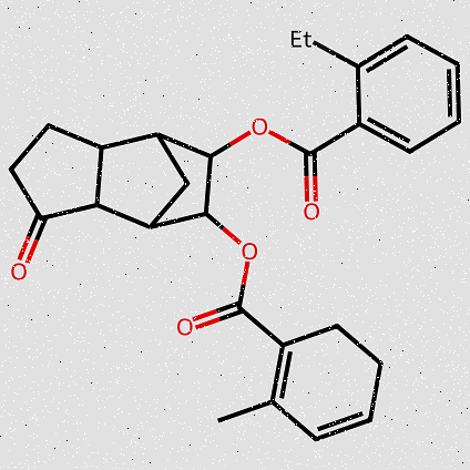 CCc1ccccc1C(=O)OC1C2CC(C1OC(=O)C1=C(C)C=CCC1)C1C(=O)CCC21